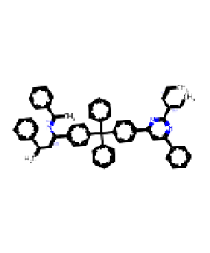 C=C(/C=C(\N=C(/C)c1ccccc1)c1ccc(C(c2ccccc2)(c2ccccc2)c2ccc(-c3cc(-c4ccccc4)nc(C(/C=C\C)=C/C)n3)cc2)cc1)c1ccccc1